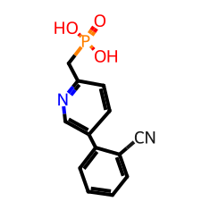 N#Cc1ccccc1-c1ccc(CP(=O)(O)O)nc1